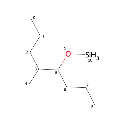 CCCC(C)C(CCC)O[SiH3]